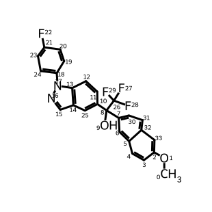 COc1ccc2cc(C(O)(c3ccc4c(cnn4-c4ccc(F)cc4)c3)C(F)(F)F)ccc2c1